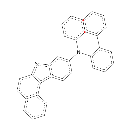 c1ccc(-c2ccccc2N(c2ccccc2)c2ccc3c(c2)sc2ccc4ccccc4c23)cc1